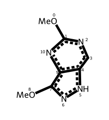 COc1ncc2[nH]nc(OC)c2n1